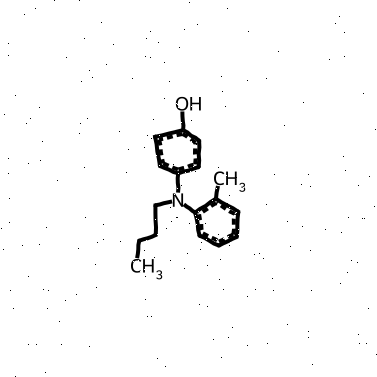 CCCCN(c1ccc(O)cc1)c1ccccc1C